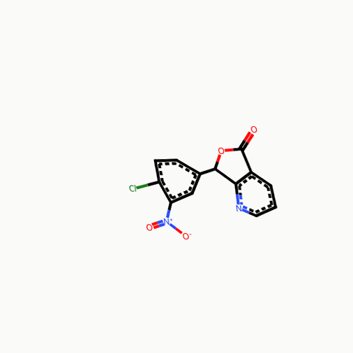 O=C1OC(c2ccc(Cl)c([N+](=O)[O-])c2)c2ncccc21